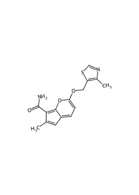 Cc1cc2ccc(OCc3scnc3C)oc-2c1C(N)=O